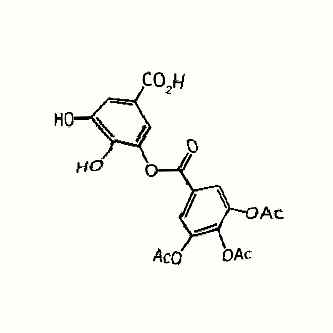 CC(=O)Oc1cc(C(=O)Oc2cc(C(=O)O)cc(O)c2O)cc(OC(C)=O)c1OC(C)=O